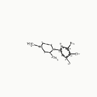 C[C@H]1CN(C)CCN1c1cc(I)c(Cl)c(F)n1